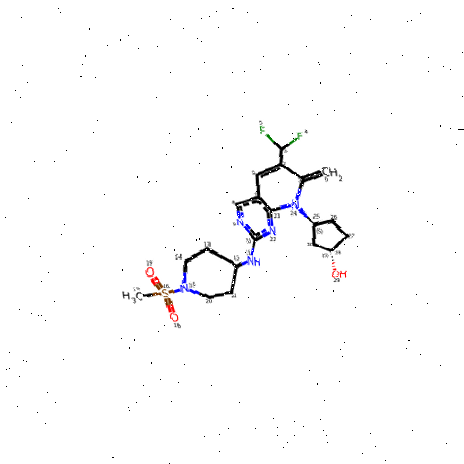 C=C1C(C(F)F)=Cc2cnc(NC3CCN(S(C)(=O)=O)CC3)nc2N1[C@H]1CC[C@H](O)C1